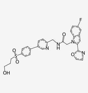 O=C(Cn1c(-c2ncco2)cc2cc(F)ccc21)NCc1ccc(-c2ccc(S(=O)(=O)CCCO)cc2)cn1